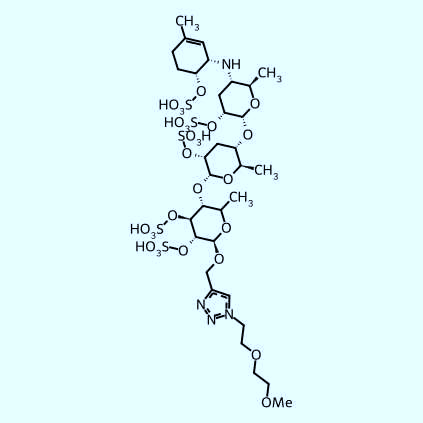 COCCOCCn1cc(CO[C@@H]2OC(C)[C@@H](O[C@H]3O[C@H](C)[C@@H](O[C@H]4O[C@H](C)[C@@H](N[C@H]5C=C(C)CC[C@H]5OS(=O)(=O)O)C[C@H]4OS(=O)(=O)O)C[C@H]3OS(=O)(=O)O)[C@H](OS(=O)(=O)O)[C@H]2OS(=O)(=O)O)nn1